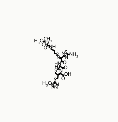 Cn1nnnc1SCC1=C(C(=O)O)N2C(=O)C(NC(=O)C(=NOCCCNC(=O)OC(C)(C)C)c3nsc(N)n3)[C@@H]2SC1